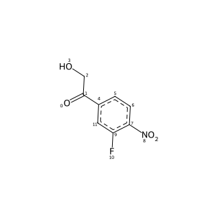 O=C(CO)c1ccc([N+](=O)[O-])c(F)c1